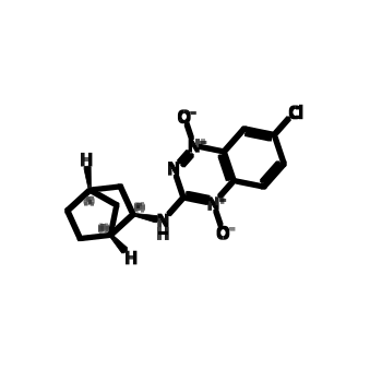 [O-][n+]1nc(N[C@@H]2C[C@H]3CC[C@@H]2C3)[n+]([O-])c2ccc(Cl)cc21